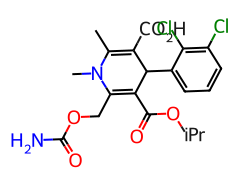 CC1=C(C(=O)O)C(c2cccc(Cl)c2Cl)C(C(=O)OC(C)C)=C(COC(N)=O)N1C